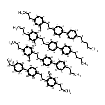 CCCCCc1ccc(-c2ccc(CCc3ccc(CCC)cc3F)cc2)cc1.CCCCc1ccc(-c2ccc(CCc3ccc(CCC)cc3F)cc2)cc1.CCCc1ccc(-c2ccc(CCc3ccc(CCC)cc3F)cc2)cc1.CCCc1ccc(CCc2ccc(-c3ccc(CC)cc3)cc2)c(F)c1